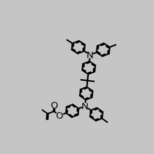 C=C(C)C(=O)Oc1ccc(N(c2ccc(C)cc2)c2ccc(C(C)(C)c3ccc(N(c4ccc(C)cc4)c4ccc(C)cc4)cc3)cc2)cc1